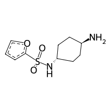 N[C@H]1CC[C@H](NS(=O)(=O)c2ccco2)CC1